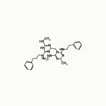 CNC1=NC(CN2C(NC)=NC(C)N=C2NCCc2ccccc2)N=C(NCCCc2ccccc2)N1